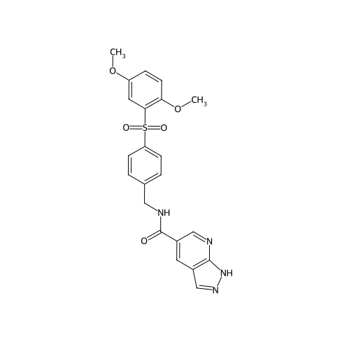 COc1ccc(OC)c(S(=O)(=O)c2ccc(CNC(=O)c3cnc4[nH]ncc4c3)cc2)c1